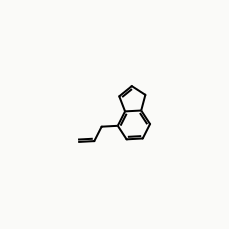 C=CCc1cccc2c1C=CC2